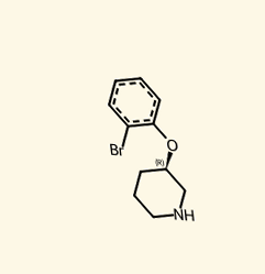 Brc1ccccc1O[C@@H]1CCCNC1